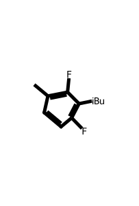 CCC(C)c1c(F)ccc(C)c1F